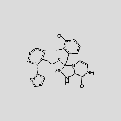 Cc1c(Cl)cccc1C1(SCc2ccccc2-c2cccs2)NNC2C(=O)NC=CN21